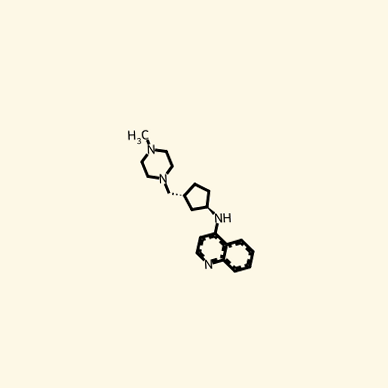 CN1CCN(C[C@@H]2CC[C@@H](Nc3ccnc4ccccc34)C2)CC1